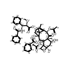 CO[C@@H](C(=O)O[C@H]1C[C@@]2(O)[C@@H](OC(=O)c3ccccc3)[C@@H]3[C@]4(OC(C)=O)CO[C@@H]4C[C@H](O)[C@@]3(C)C(=O)[C@H](OC(C)=O)C(=C1C)C2(C)C)[C@@H](NC(=O)c1ccccc1)c1ccccc1